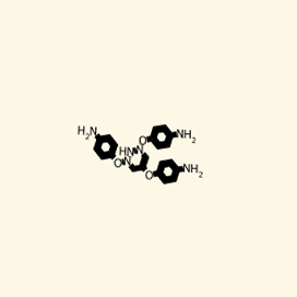 Nc1ccc(OC2=CN(Oc3ccc(N)cc3)NN(Oc3ccc(N)cc3)C2)cc1